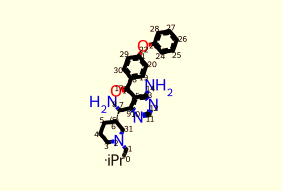 C[C](C)CN1CCC[C@H](C(N)c2ncnc(N)c2C(=O)c2ccc(Oc3ccccc3)cc2)C1